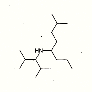 CCCC(CCC(C)C)NC(C(C)C)C(C)C